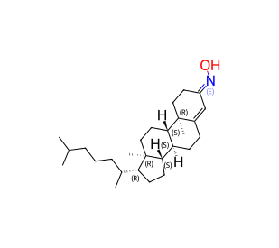 CC(C)CCCC(C)[C@H]1CC[C@H]2[C@@H]3CCC4=C/C(=N/O)CC[C@]4(C)[C@H]3CC[C@]12C